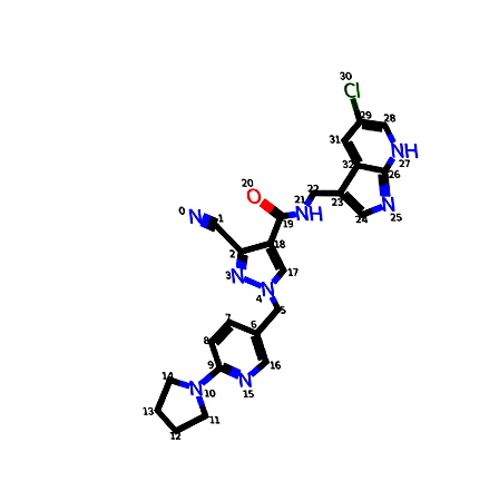 N#Cc1nn(Cc2ccc(N3CCCC3)nc2)cc1C(=O)NCc1cnc2[nH]cc(Cl)cc1-2